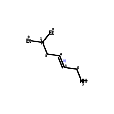 CCN(CC)C/C=C/C[NH]